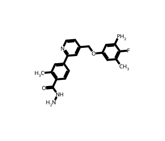 Cc1cc(-c2cc(COc3cc(C)c(F)c(P)c3)ccn2)ccc1C(=O)NN